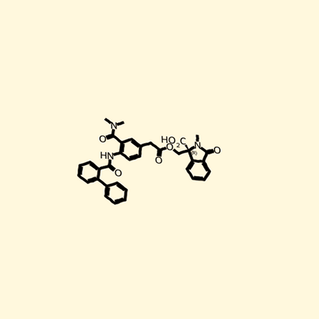 CN(C)C(=O)c1cc(CC(=O)OC[C@@]2(C(=O)O)c3ccccc3C(=O)N2C)ccc1NC(=O)c1ccccc1-c1ccccc1